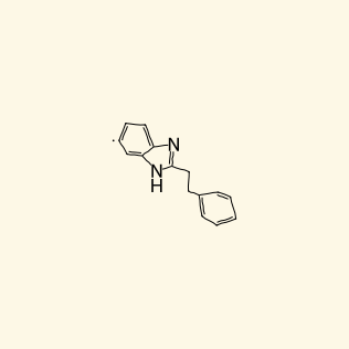 [c]1ccc2nc(CCc3ccccc3)[nH]c2c1